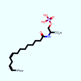 CCCCC/C=C\C/C=C\CCCCCCCC(=O)NC(COP(=O)(O)O)C(=O)O